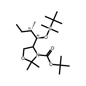 CC[C@H](C)[C@@H](O[Si](C)(C)C(C)(C)C)C1COC(C)(C)N1C(=O)OC(C)(C)C